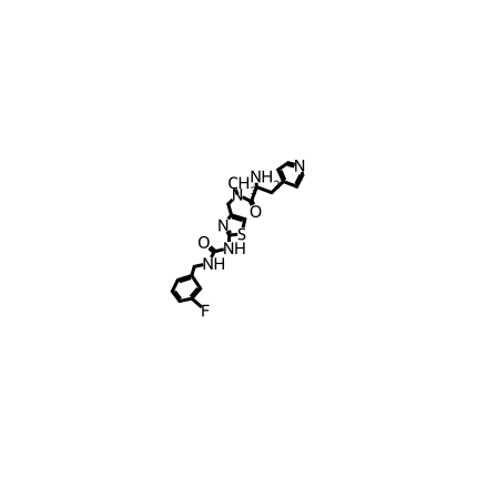 CN(Cc1csc(NC(=O)NCc2cccc(F)c2)n1)C(=O)C(N)Cc1ccncc1